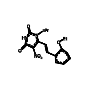 CCCn1c(C=Cc2ccccc2OCC)c([N+](=O)[O-])c(=O)[nH]c1=O